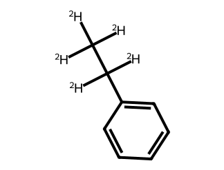 [2H]C([2H])([2H])C([2H])([2H])c1ccccc1